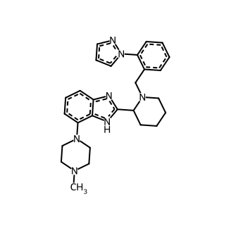 CN1CCN(c2cccc3nc(C4CCCCN4Cc4ccccc4-n4cccn4)[nH]c23)CC1